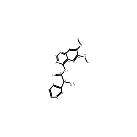 COc1cc2ncnc(OC(=O)C(N)c3ccccc3)c2cc1OC